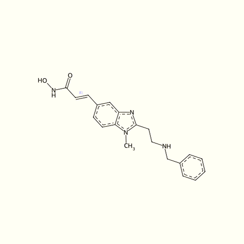 Cn1c(CCNCc2ccccc2)nc2cc(/C=C/C(=O)NO)ccc21